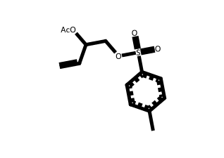 C=CC(COS(=O)(=O)c1ccc(C)cc1)OC(C)=O